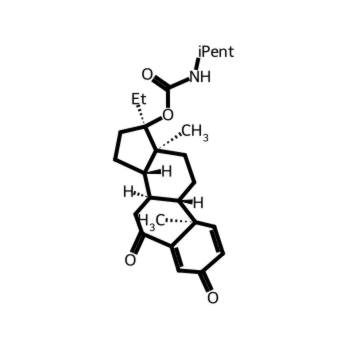 CCCC(C)NC(=O)O[C@]1(CC)CC[C@H]2[C@@H]3CC(=O)C4=CC(=O)C=C[C@]4(C)[C@H]3CC[C@@]21C